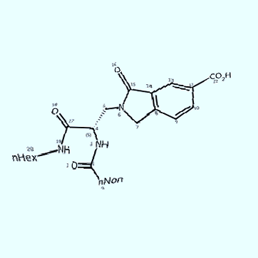 CCCCCCCCCC(=O)N[C@@H](CN1Cc2ccc(C(=O)O)cc2C1=O)C(=O)NCCCCCC